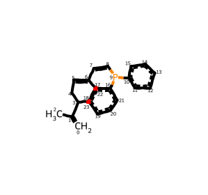 C=C(C)C1CC=C(/C=C\P(c2ccccc2)c2ccccc2)CC1